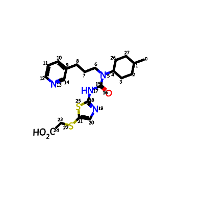 CC1CCC(N(CCCc2cccnc2)C(=O)Nc2ncc(SCC(=O)O)s2)CC1